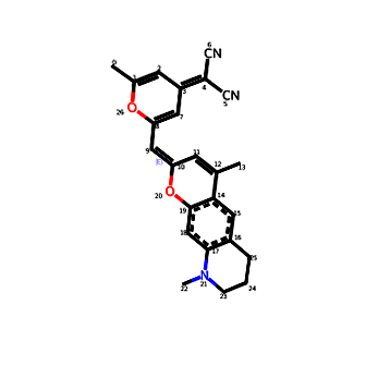 CC1=CC(=C(C#N)C#N)C=C(/C=C2\C=C(C)c3cc4c(cc3O2)N(C)CCC4)O1